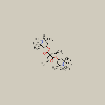 C=CCC(CC=C)(C(=O)OC1CC(C)(C)N(C)C(C)(C)C1)C(=O)OC1CC(C)(C)N(C)C(C)(C)C1